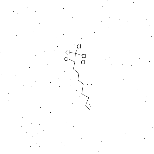 CCCCCCCCC(Cl)(Cl)C(Cl)(Cl)Cl